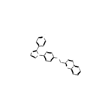 c1ccc2nc(COc3ccc(-n4ccnc4-c4ccncc4)cc3)ccc2c1